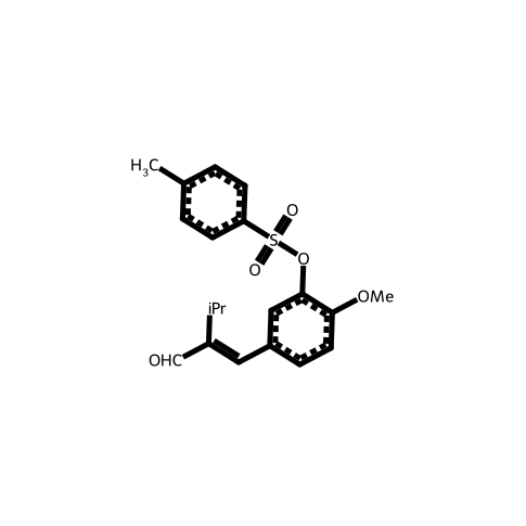 COc1ccc(/C=C(/C=O)C(C)C)cc1OS(=O)(=O)c1ccc(C)cc1